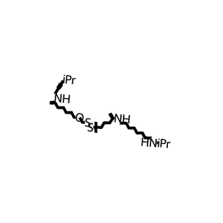 C=C(CCCCCOCSSC(C)(C)CCCC(=C)NCCCCCCCCNC(C)C)NCC#CC(C)C